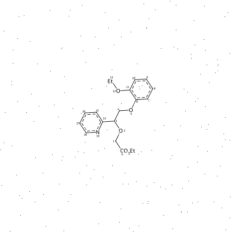 CCOC(=O)COC(COc1ccccc1OCC)c1ccccn1